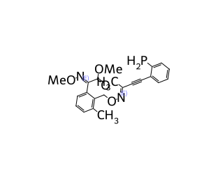 CO/N=C(/C(=O)OC)c1cccc(C)c1CO/N=C(\C)C#Cc1ccccc1P